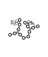 CC1(C)c2ccccc2-c2ccc(-c3ccc(N(c4ccc(-c5ccccc5)cc4)c4ccc(-c5cccc(-c6cccc(-c7ccc(N(c8ccc(-c9ccccc9)cc8)c8ccc9c(c8)C(C)(C)c8ccccc8-9)cc7)c6)c5)cc4)cc3)cc21